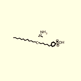 CCCCCCCCCCCCCCCCCCCc1ccc(S(=O)(=O)O)cc1.CN(C)C.N